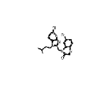 CC(C)CCn1c(Cn2c(=O)cnc3ccc(Br)cc32)nc2nc(Cl)ccc21